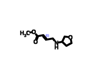 COC(=O)/C=C/CNC1CCOC1